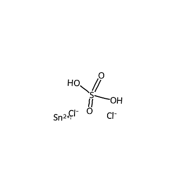 O=S(=O)(O)O.[Cl-].[Cl-].[Sn+2]